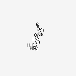 Cc1[nH]ncc1-c1ccc2cc(C(=O)NCc3c(Cl)cccc3OC3COC3)[nH]c2n1